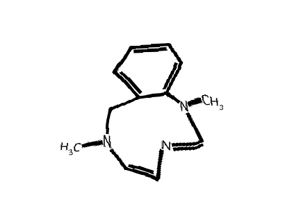 CN1/C=C\N=C\N(C)c2ccccc2C1